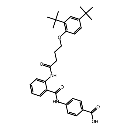 CC(C)(C)c1ccc(OCCCC(=O)Nc2ccccc2C(=O)Nc2ccc(C(=O)O)cc2)c(C(C)(C)C)c1